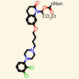 CCCCCCCCCC(=O)OC(C(=O)OCC)N1C(=O)CCc2ccc(OCCCCN3CCN(c4cccc(Cl)c4Cl)CC3)cc21